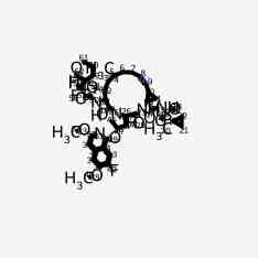 CC[C@@H]1C[C@H](C)CC/C=C\C2C[C@@]2(C(=O)NS(=O)(=O)C2(C)CC2)NC(=O)[C@@H]2C[C@@H](Oc3nc(OC)cc4cc(OC)c(F)cc34)CN2C(=O)[C@H]1NC(=O)OC1(C(F)(F)F)CCCOC1